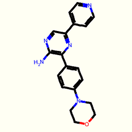 Nc1ncc(-c2ccncc2)nc1-c1ccc(N2CCOCC2)cc1